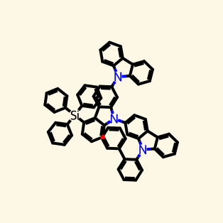 c1ccc(-c2ccccc2-n2c3ccccc3c3ccc(-n4c5cc(-n6c7ccccc7c7ccccc76)ccc5c5c([Si](c6ccccc6)(c6ccccc6)c6ccccc6)cccc54)cc32)cc1